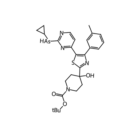 Cc1cccc(-c2nc(C3(O)CCN(C(=O)OC(C)(C)C)CC3)sc2-c2ccnc([AsH]C3CC3)n2)c1